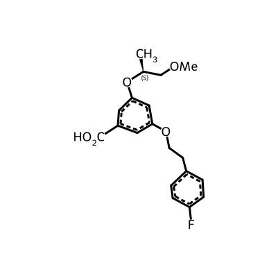 COC[C@H](C)Oc1cc(OCCc2ccc(F)cc2)cc(C(=O)O)c1